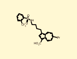 CC(C)c1ccc2c(CCCCNS(=O)(=O)c3ccccc3C(F)(F)F)cc(C(=O)O)c-2cc1